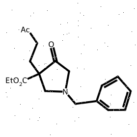 CCOC(=O)C1(CCC(C)=O)CN(Cc2ccccc2)CC1=O